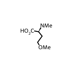 CN[C@@H](CCOC)C(=O)O